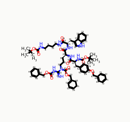 CC(C)(C)OC(=O)NCCCCNC(=O)[C@H](Cc1c[nH]c2ccccc12)NC(=O)[C@H](CCCN(C(=N)NC(=O)OCc1ccccc1)C(=O)OCC1=CC=CCC1)NC(=O)[C@H](Cc1ccc(OCc2ccccc2)cc1)NC(=O)OC(C)(C)C